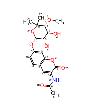 CO[C@@H]1C(O)[C@H](O)[C@H](Oc2ccc3cc(NC(C)=O)c(=O)oc3c2)OC1(C)C